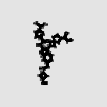 C=CC(=O)N1CC[C@]2(C1)C[C@H](n1c(NC(=O)c3ccc(C(F)F)s3)nc3cc(CN[C@H]4C[C@H](O)C4)ccc31)C2